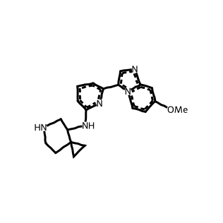 COc1ccn2c(-c3cccc(NC4CNCCC45CC5)n3)cnc2c1